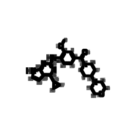 COc1cc(C(=O)N2CCC(N3CCOCC3)CC2)ccc1Nc1nc(C2CC2)c2cc[nH]c2n1